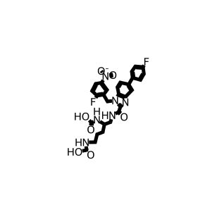 O=C(O)NCCCC(CNC(=O)c1nc2cc(-c3ccc(F)cc3)ccc2n1Cc1cc([N+](=O)[O-])ccc1F)NC(=O)O